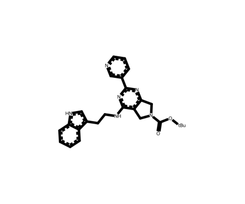 CC(C)(C)OC(=O)N1Cc2nc(-c3cccnc3)nc(NCCc3c[nH]c4ccccc34)c2C1